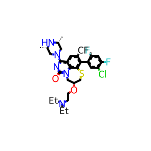 CCN(CC)CCO[C@@H]1CSc2c(-c3cc(Cl)c(F)cc3F)c(C(F)(F)F)cc3c(N4C[C@@H](C)N[C@@H](C)C4)nc(=O)n(c23)C1